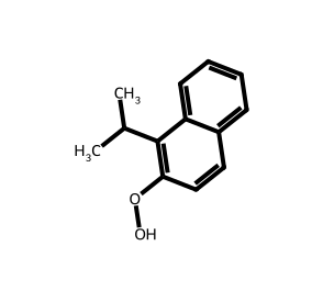 CC(C)c1c(OO)ccc2ccccc12